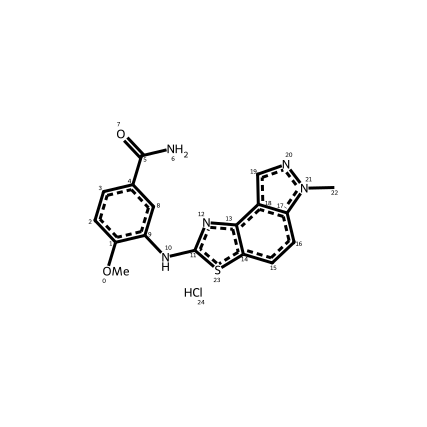 COc1ccc(C(N)=O)cc1Nc1nc2c(ccc3c2cnn3C)s1.Cl